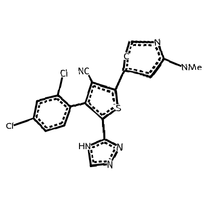 CNc1cc(-c2sc(-c3nnc[nH]3)c(-c3ccc(Cl)cc3Cl)c2C#N)ccn1